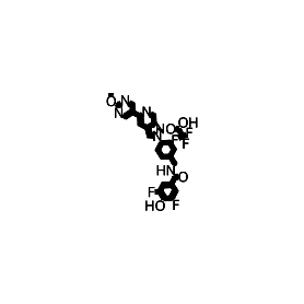 COc1ncc(-c2cc3cn(C4CCC(CNC(=O)c5cc(F)c(O)c(F)c5)CC4)nc3cn2)cn1.O=C(O)C(F)(F)F